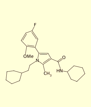 COc1ccc(F)cc1-c1cc(C(=O)NC2CCCCC2)c(C)n1CCC1CCCCC1